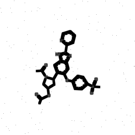 CC(=O)OC1CC(c2cc3[nH]c(-c4ccccn4)nc3cc2Oc2ccc(S(C)(=O)=O)cc2)N(C(C)=O)C1